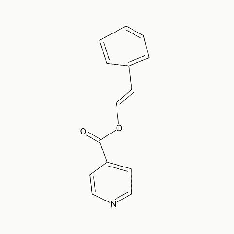 O=C(OC=Cc1ccccc1)c1ccncc1